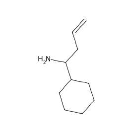 C=CCC(N)C1CCCCC1